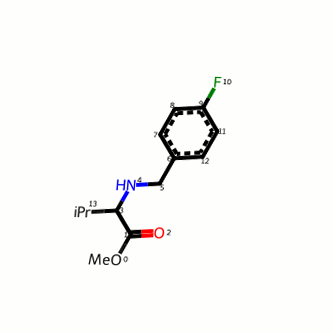 COC(=O)C(NCc1ccc(F)cc1)C(C)C